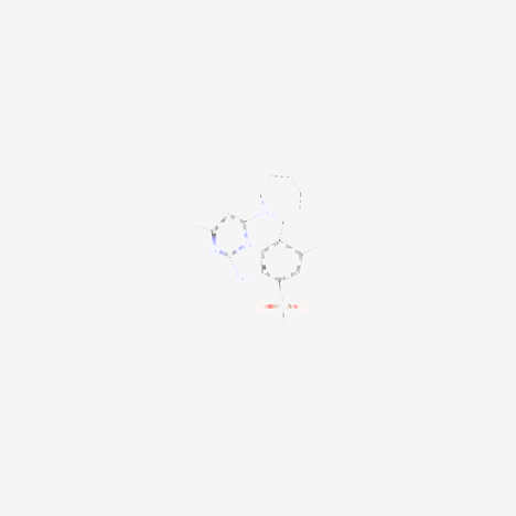 Cc1cc(N2CCCCCC2c2ccc(S(C)(=O)=O)cc2C)nc(N)n1